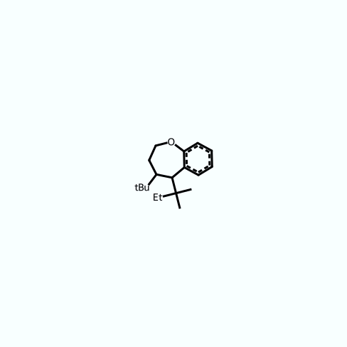 CCC(C)(C)C1c2ccccc2OCCC1C(C)(C)C